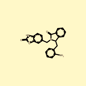 Nc1ccccc1CC1c2ccccc2C(=O)N1Cc1ccc2[nH]c(=O)oc2c1